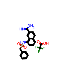 N=C(N)c1ccc2cccc(NS(=O)(=O)Cc3ccccc3)c2c1.O=C(O)C(F)(F)F